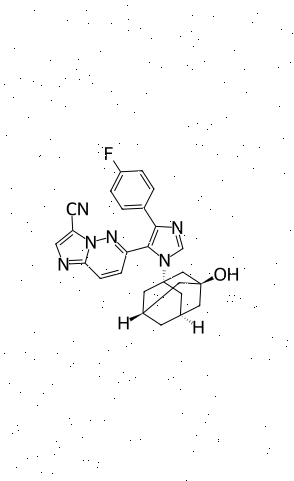 N#Cc1cnc2ccc(-c3c(-c4ccc(F)cc4)ncn3[C@@]34C[C@@H]5C[C@@H](C[C@@](O)(C5)C3)C4)nn12